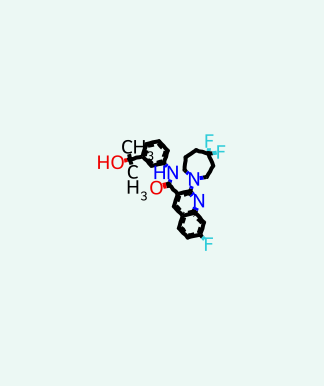 CC(C)(O)c1cccc(NC(=O)c2cc3ccc(F)cc3nc2N2CCCC(F)(F)CC2)c1